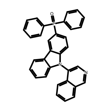 O=P(c1ccccc1)(c1ccccc1)c1ccc2c(c1)c1ccccc1n2-c1cncc2ccccc12